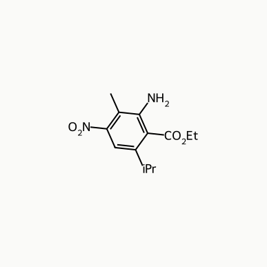 CCOC(=O)c1c(C(C)C)cc([N+](=O)[O-])c(C)c1N